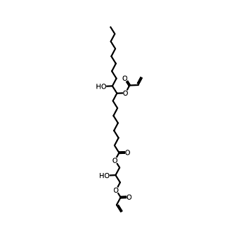 C=CC(=O)OCC(O)COC(=O)CCCCCCCC(OC(=O)C=C)C(O)CCCCCCCC